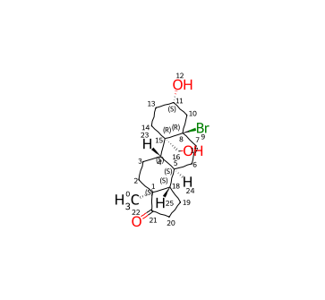 C[C@]12CC[C@H]3[C@@H](CC[C@@]4(Br)C[C@@H](O)CC[C@]34CO)[C@@H]1CCC2=O